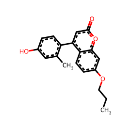 CCCOc1ccc2c(-c3ccc(O)cc3C)cc(=O)oc2c1